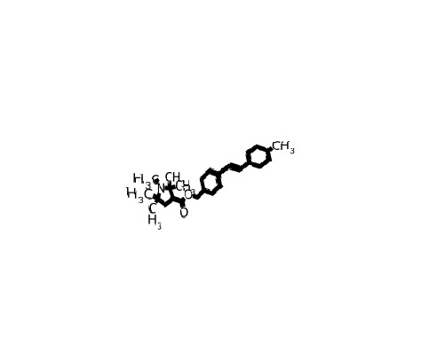 CC1CCC(/C=C/C2CCC(COC(=O)C3CC(C)(C)N(C)C3(C)C)CC2)CC1